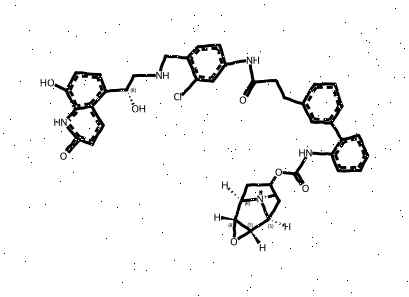 C[N+]1(C)[C@@H]2CC(OC(=O)Nc3ccccc3-c3cccc(CCC(=O)Nc4ccc(CNC[C@H](O)c5ccc(O)c6[nH]c(=O)ccc56)c(Cl)c4)c3)C[C@H]1[C@@H]1O[C@@H]12